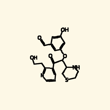 O=Cc1cc(O)cc(OC(C(=O)c2cccnc2CCO)C2CSCCN2)c1